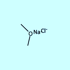 COC.[Cl-].[Na+]